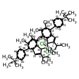 C[CH2][Zr]([Cl])([Cl])([CH]1C(C(C)C)=Cc2c(-c3ccc([Si](C)(C)C)cc3)c(C)c(C)c(C)c21)[CH]1C(C(C)C)=Cc2c(-c3ccc([Si](C)(C)C)cc3)c(C)c(C)c(C)c21